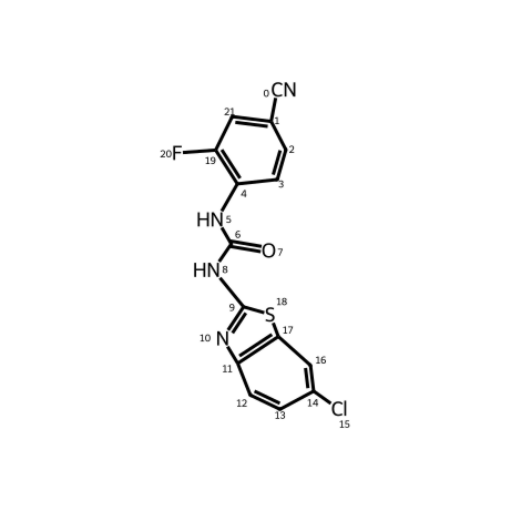 N#Cc1ccc(NC(=O)Nc2nc3ccc(Cl)cc3s2)c(F)c1